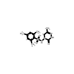 CC1=NNC(=O)N(NS(=O)(=O)c2c(C)cc(C)cc2C)C1